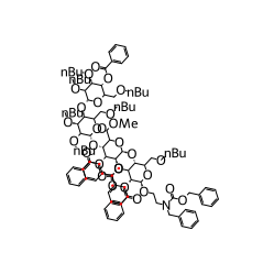 CCCCOCC1O[C@@H](OCCN(Cc2ccccc2)C(=O)OCc2ccccc2)[C@@H](OC(=O)c2ccccc2)C(OC(=O)c2ccccc2)[C@@H]1O[C@@H]1OC(C(=O)OC)[C@@H](O[C@H]2OC(COCCCC)[C@H](O[C@H]3OC(COCCCC)[C@@H](OC(=O)c4ccccc4)[C@H](OCCCC)C3OCCCC)[C@H](OCCCC)C2OCCCC)C(OC(=O)c2ccccc2)[C@@H]1OC(=O)c1ccccc1